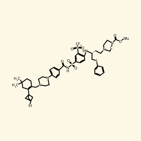 CCC12CC(C3=C(CN4CCN(c5ccc(C(=O)NS(=O)(=O)c6ccc(N[C@H](CCN7CCN(C(=O)OC(C)(C)C)CC7)CSc7ccccc7)c(S(=O)(=O)C(F)(F)F)c6)cc5)CC4)CCC(C)(C)C3)(C1)C2